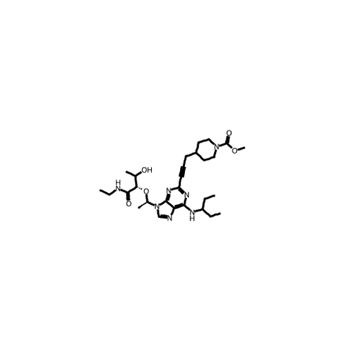 CCNC(=O)[C@@H](O[C@H](C)n1cnc2c(NC(CC)CC)nc(C#CCC3CCN(C(=O)OC)CC3)nc21)C(C)O